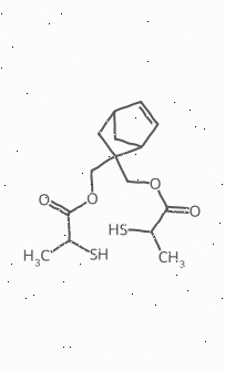 CC(S)C(=O)OCC1(COC(=O)C(C)S)CC2C=CC1C2